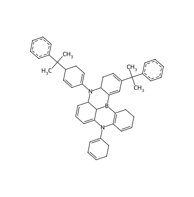 CC(C)(C1=CCC2C(=C1)B1C3=C(C=CCC3)N(C3=CC=CCC3)C3=CC=CC(C13)N2C1=CCC(C(C)(C)c2ccccc2)C=C1)c1ccccc1